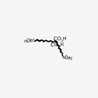 CCCCCCCCCCCCCCCCCC/C(C(=O)O)=C(/CCCCCCCCCCCCCCCCCC)C(=O)O